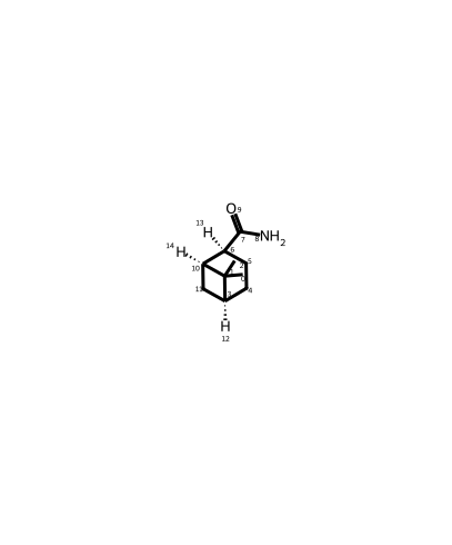 CC1(C)[C@H]2CC[C@H](C(N)=O)[C@@H]1C2